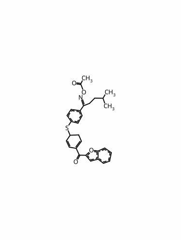 CC(=O)O/N=C(\CCC(C)C)c1ccc(SC2C=CC(C(=O)c3cc4ccccc4o3)=CC2)cc1